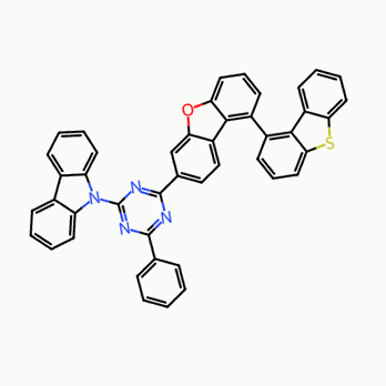 c1ccc(-c2nc(-c3ccc4c(c3)oc3cccc(-c5cccc6sc7ccccc7c56)c34)nc(-n3c4ccccc4c4ccccc43)n2)cc1